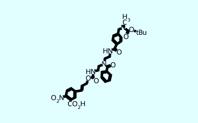 CN(Cc1ccc(C(=O)NCCN(CCNC(=O)OC/C=C/c2ccc([N+](=O)[O-])c(C(=O)O)c2)C(=O)c2ccccc2)cc1)C(=O)OC(C)(C)C